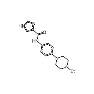 CCN1CCN(c2ccc(NC(=O)c3c[nH]cn3)cc2)CC1